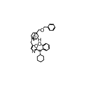 Oc1ccccc1[C@H](c1ncc(C[N+]23CCC(COCc4ccccc4)(CC2)CC3)o1)C1CCCCC1